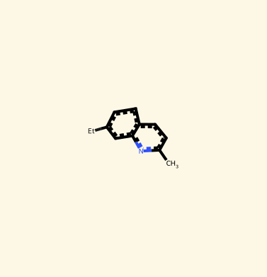 CCc1ccc2ccc(C)nc2c1